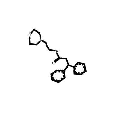 O=C(CC(c1ccccc1)c1ccccc1)NCCN1CCOCC1